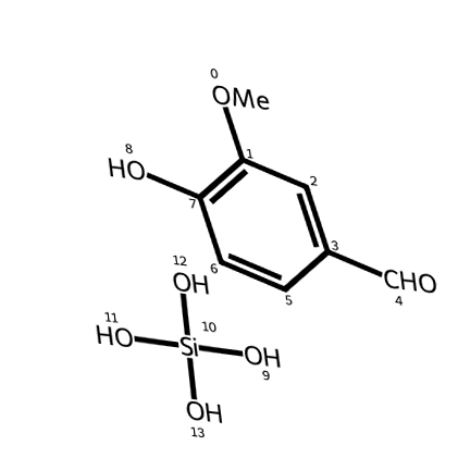 COc1cc(C=O)ccc1O.O[Si](O)(O)O